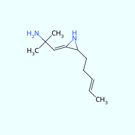 CC=CCCC1N/C1=C\C(C)(C)N